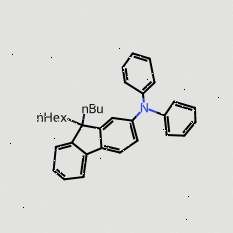 CCCCCCC1(CCCC)c2ccccc2-c2ccc(N(c3ccccc3)c3ccccc3)cc21